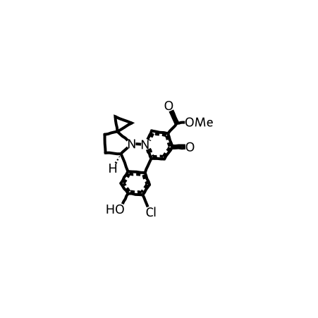 COC(=O)c1cn2c(cc1=O)-c1cc(Cl)c(O)cc1[C@H]1CCC3(CC3)N12